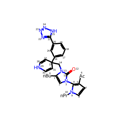 CCCCc1cn(-c2c(C(C)=O)ccn2CCC)c(=O)n1CC1(c2cccc(-c3nnn[nH]3)c2)C=CNC=C1